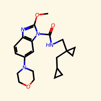 COc1nc2ccc(N3CCOCC3)cc2n1C(=O)NCC1(CC2CC2)CC1